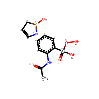 CC(=O)Nc1ccccc1[As](=O)(O)OO.[O-][S+]1CC=CN1